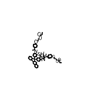 C=CC(=O)OCCOc1ccc(/C(C)=N/c2ccc(C3(c4ccc(/N=C(\C)c5ccc(OCCOC(=O)C=C)cc5)c(S)c4)c4ccccc4-c4cc5ccccc5cc43)cc2S)cc1